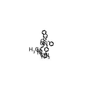 Cc1cc(/C=C/C(=O)N(Cc2ccc(-c3cnccn3)cc2)[C@@H](Cc2ccccc2)C(=O)N2CCc3ccccc3C2)n(C)n1